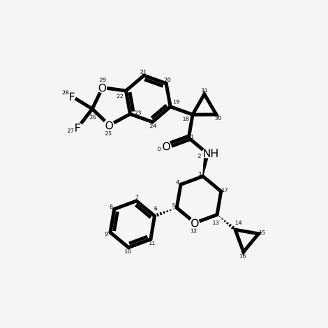 O=C(N[C@@H]1C[C@@H](c2ccccc2)O[C@@H](C2CC2)C1)C1(c2ccc3c(c2)OC(F)(F)O3)CC1